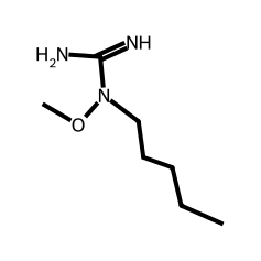 CCCCCN(OC)C(=N)N